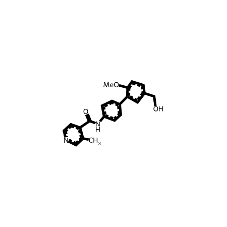 COc1ccc(CO)cc1-c1ccc(NC(=O)c2ccncc2C)cc1